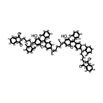 Cc1cccc(C)c1N(CCCN1C(=O)c2ccccc2C1=O)c1ccc2c(-c3ccccc3S(=O)(=O)O)c3ccc(N(C)CCCN(C)c4ccc5c(-c6ccccc6S(=O)(=O)O)c6ccc(N(CCCN7C(=O)c8ccccc8C7=O)c7c(C)cccc7C)cc6[o+]c5c4)cc3[o+]c2c1